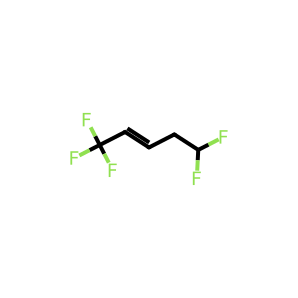 FC(F)CC=CC(F)(F)F